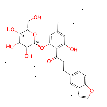 Cc1cc(O)c(C(=O)CCc2ccc3occc3c2)c(O[C@@H]2OC(CO)[C@@H](O)C(O)C2O)c1